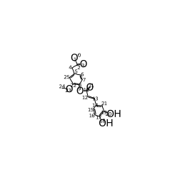 COC(=O)Cc1ccc(OC(=O)/C=C/c2ccc(O)c(O)c2)c(OC)c1